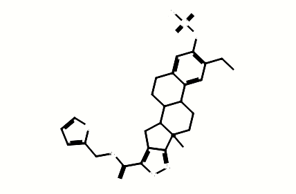 CCc1cc2c(cc1OS(N)(=O)=O)CCC1C2CCC2(C)c3n[nH]c(C(=O)NCc4ccco4)c3CC12